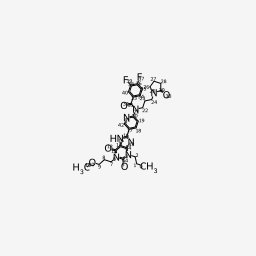 CCCn1c(=O)n(CCCOC)c(=O)c2[nH]c(-c3ccc(N(CCCN4CCCC4=O)C(=O)c4ccc(F)c(F)c4)nc3)nc21